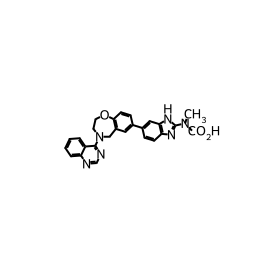 CN(C(=O)O)c1nc2ccc(-c3ccc4c(c3)CN(c3ncnc5ccccc35)CCO4)cc2[nH]1